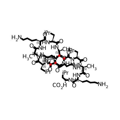 CC(C)C[C@H](NC(=O)[C@H](CCCCN)NC(=O)[C@H](C)NC(=O)[C@H](CC(C)C)NC(=O)[C@H](CCCCN)NC(=O)[C@H](CC(C)C)NC(=O)[C@H](C)NC(=O)[C@H](CC(C)C)NC(=O)[C@H](CCCCN)NC(=O)[C@H](C)NC(=O)[C@H](CC(C)C)NC(=O)[C@@H](N)CCCCN)C(=O)O